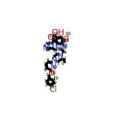 CCC1CN(c2cccc(OCc3ccc(Cl)cc3F)n2)CCN1Cc1nc2c(OC)cc(C(=O)O)cc2n1Cc1cncn1CC